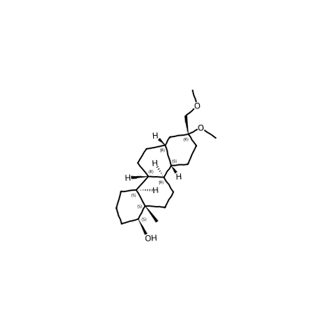 COC[C@@]1(OC)CC[C@H]2[C@H](CC[C@@H]3[C@@H]2CC[C@]2(C)[C@@H](O)CCC[C@@H]32)C1